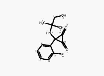 CC(C)(CO)NC1(c2ccccc2Br)C(=O)C1=O